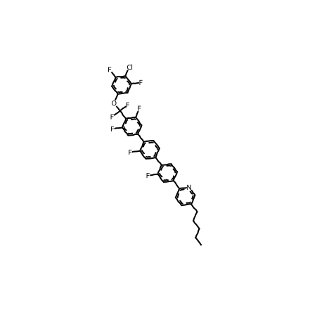 CCCCCc1ccc(-c2ccc(-c3ccc(-c4cc(F)c(C(F)(F)Oc5cc(F)c(Cl)c(F)c5)c(F)c4)c(F)c3)c(F)c2)nc1